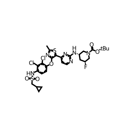 Cc1nc(Oc2ccc(NS(=O)(=O)CC3CC3)c(Cl)c2Cl)c(-c2ccnc(N[C@H]3C[C@H](F)CN(C(=O)OC(C)(C)C)C3)n2)s1